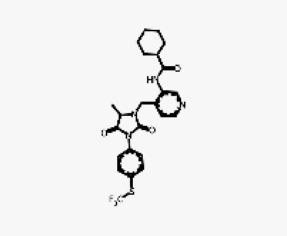 CC1C(=O)N(c2ccc(SC(F)(F)F)cc2)C(=O)N1Cc1ccncc1NC(=O)C1CCCCC1